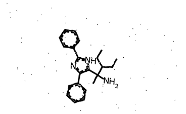 CCC(CC)C(C)(N)c1[nH]c(-c2ccccc2)nc1-c1ccccc1